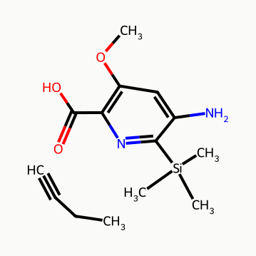 C#CCC.COc1cc(N)c([Si](C)(C)C)nc1C(=O)O